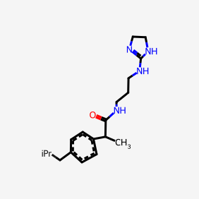 CC(C)Cc1ccc(C(C)C(=O)NCCCNC2=NCCN2)cc1